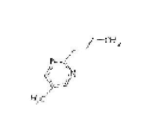 CCCCc1ncc(C)cn1